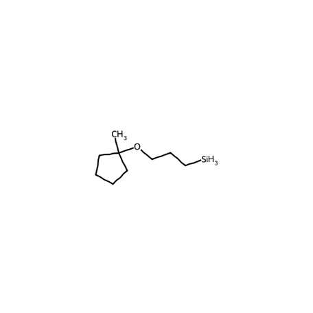 CC1(OCCC[SiH3])CCCC1